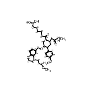 CNC(=O)CC1CC(c2ccc(OC)cc2)C(OCc2ccc3c(c2)N(CCCOC)CCO3)CN1C(=O)CCCCON(O)O